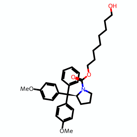 COc1ccc(C(c2ccccc2)(c2ccc(OC)cc2)[C@@H]2CCCN2C(=O)OCCCCCCCCO)cc1